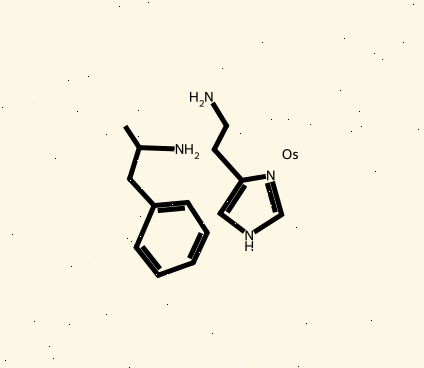 CC(N)Cc1ccccc1.NCCc1c[nH]cn1.[Os]